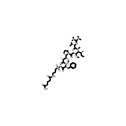 CC[C@H](C)[C@@H]([C@H](CC(=O)N1CCC[C@H]1[C@H](OC)[C@@H](C)C(=O)N[C@@H](Cc1ccccc1)C(=O)NS(=O)(=O)CCCNC(=O)CCCC(=O)O)OC)N(C)C(=O)[C@@H](N=C(N(C)C)N(C)C)C(C)C